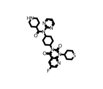 O=C(C1CCNCC1)N(c1ncccn1)C1CCC(n2c(=O)c3cc(F)cnc3n(C3CCSCC3)c2=O)CC1